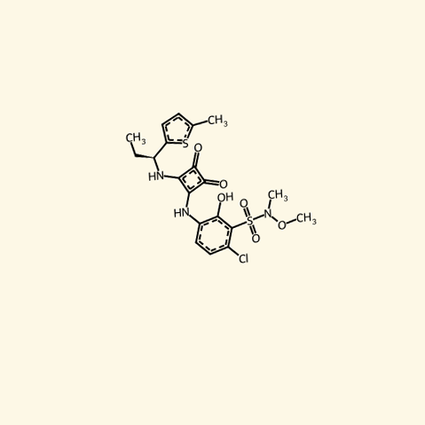 CC[C@H](Nc1c(Nc2ccc(Cl)c(S(=O)(=O)N(C)OC)c2O)c(=O)c1=O)c1ccc(C)s1